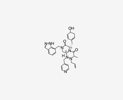 C=CCN1C(C)C(=O)N2[C@@H](CC3=CCC(O)C=C3)C(=O)N(Cc3cccc4cn[nH]c34)C[C@@H]2N1Cc1ccncc1